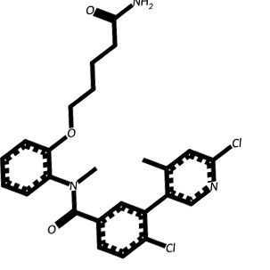 Cc1cc(Cl)ncc1-c1cc(C(=O)N(C)c2ccccc2OCCCCC(N)=O)ccc1Cl